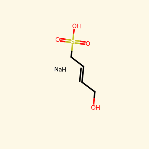 O=S(=O)(O)CC=CCO.[NaH]